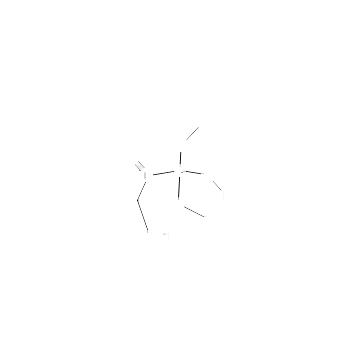 CCCCCCCC[PH](=O)[Si](OCC)(OCC)OCC